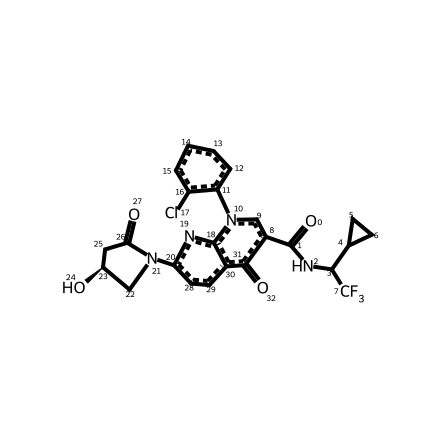 O=C(NC(C1CC1)C(F)(F)F)c1cn(-c2ccccc2Cl)c2nc(N3C[C@@H](O)CC3=O)ccc2c1=O